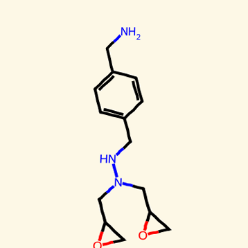 NCc1ccc(CNN(CC2CO2)CC2CO2)cc1